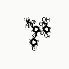 COc1ccc(CC(=O)O)cc1Oc1ccc(NC(=O)C(C)(C)C)cc1CSc1ccc(Cl)cc1